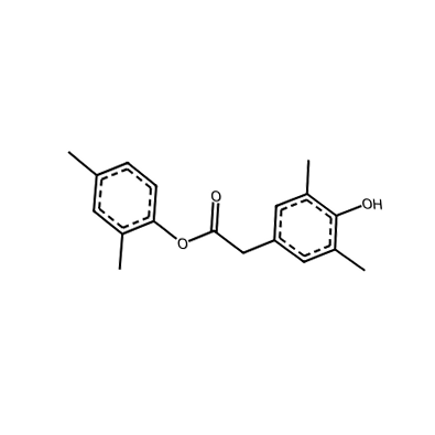 Cc1ccc(OC(=O)Cc2cc(C)c(O)c(C)c2)c(C)c1